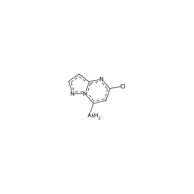 Clc1cc([AsH2])n2nccc2n1